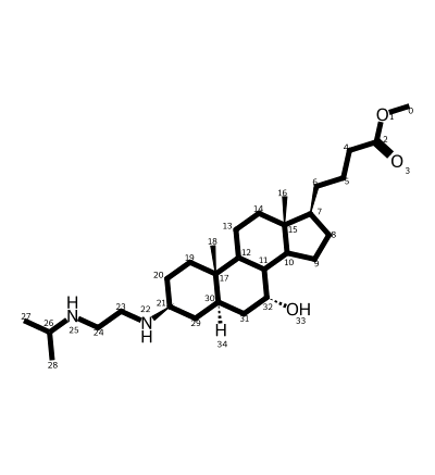 COC(=O)CCC[C@H]1CCC2C3C(CC[C@@]21C)[C@@]1(C)CC[C@H](NCCNC(C)C)C[C@@H]1C[C@H]3O